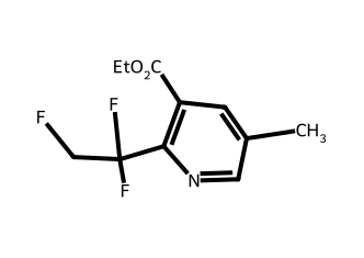 CCOC(=O)c1cc(C)cnc1C(F)(F)CF